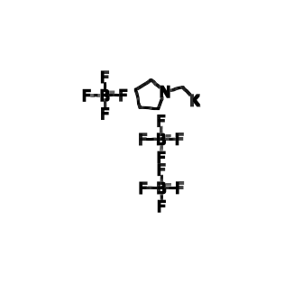 F[B-](F)(F)F.F[B-](F)(F)F.F[B-](F)(F)F.[K][CH2]N1CCCC1